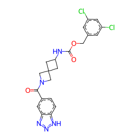 O=C(NC1CC2(C1)CN(C(=O)c1ccc3[nH]nnc3c1)C2)OCc1cc(Cl)cc(Cl)c1